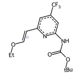 CCO/C=C/c1cc(C(F)(F)F)cc(NC(=O)OC(C)(C)C)n1